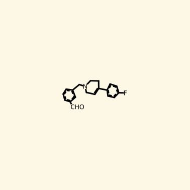 O=Cc1cccc(CN2CC=C(c3ccc(F)cc3)CC2)c1